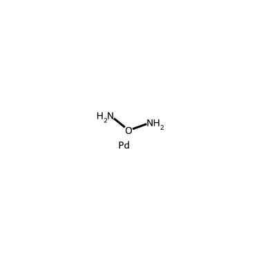 NON.[Pd]